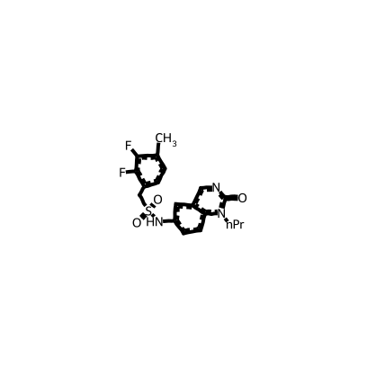 CCCn1c(=O)ncc2cc(NS(=O)(=O)Cc3ccc(C)c(F)c3F)ccc21